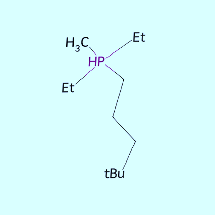 CC[PH](C)(CC)CCCC(C)(C)C